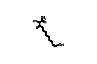 CCCCCCCC/C=C\CCCCCCCC(=O)[C](CCC)C(N)=O